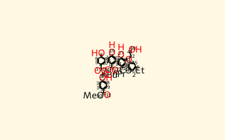 CCCCOC(=O)c1ccc(O)cc1.CCCOC(=O)c1ccc(O)cc1.CCOC(=O)c1ccc(O)cc1.COC(=O)c1ccc(O)cc1.OCCOc1ccccc1